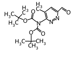 Cc1cc(C=O)nnc1N(C(=O)OC(C)(C)C)C(=O)OC(C)(C)C